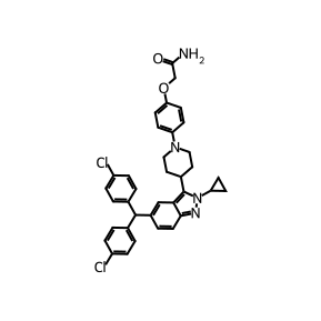 NC(=O)COc1ccc(N2CCC(c3c4cc(C(c5ccc(Cl)cc5)c5ccc(Cl)cc5)ccc4nn3C3CC3)CC2)cc1